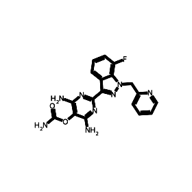 NC(=O)Oc1c(N)nc(-c2nn(Cc3ccccn3)c3c(F)cccc23)nc1N